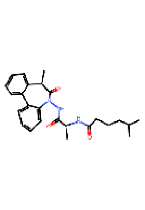 CC(C)CCCC(=O)N[C@@H](C)C(=O)NN1C(=O)C(C)c2ccccc2-c2ccccc21